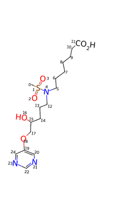 CS(=O)(=O)N(CCCCCCC(=O)O)CCCC(O)COc1cncnc1